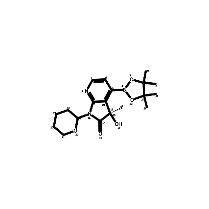 CC1(C)OB(c2ccnc3c2[C@@](C)(O)C(=O)N3C2CCCCO2)OC1(C)C